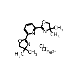 CC1(C)COC(c2cccc(C3=NC(C)(C)CO3)n2)=N1.[Cl-].[Cl-].[Fe+2]